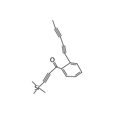 CC#CC#Cc1ccccc1C(=O)C#C[Si](C)(C)C